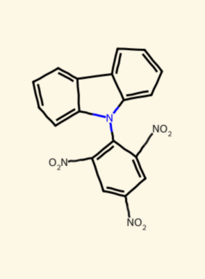 O=[N+]([O-])c1cc([N+](=O)[O-])c(-n2c3ccccc3c3ccccc32)c([N+](=O)[O-])c1